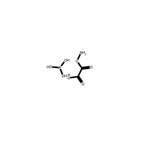 NOC(=O)C(=O)O.OB(O)O